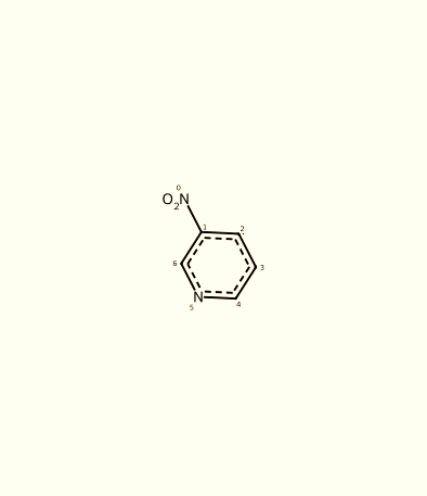 O=[N+]([O-])c1[c]ccnc1